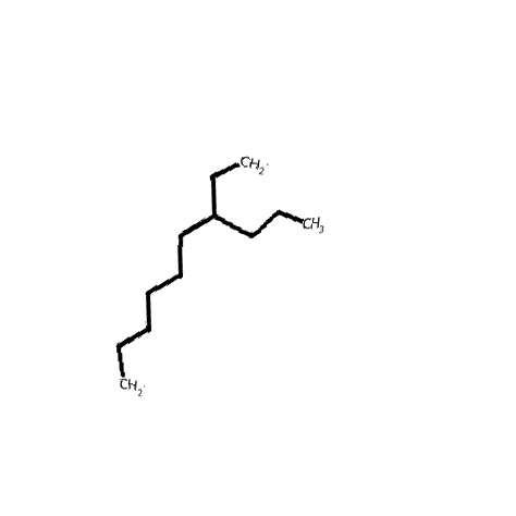 [CH2]CCCCCC(C[CH2])CCC